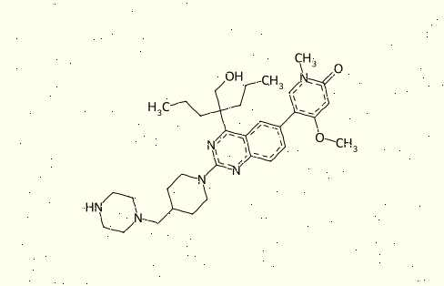 CCCC(CO)(CCC)c1nc(N2CCC(CN3CCNCC3)CC2)nc2ccc(-c3cn(C)c(=O)cc3OC)cc12